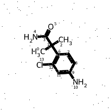 CC(C)(C(N)=O)c1ccc(N)cc1Cl